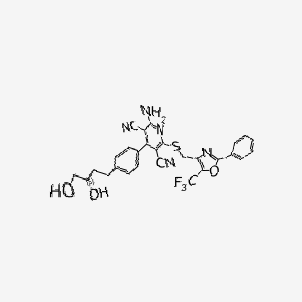 N#Cc1c(N)nc(SCc2nc(-c3ccccc3)oc2C(F)(F)F)c(C#N)c1-c1ccc(CC[C@H](O)CO)cc1